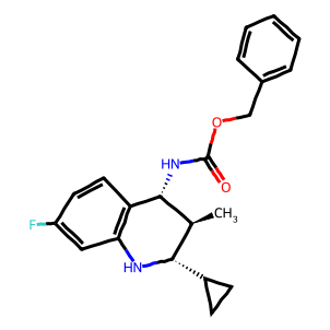 C[C@@H]1[C@@H](NC(=O)OCc2ccccc2)c2ccc(F)cc2N[C@H]1C1CC1